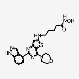 O=C(CCCCNc1cc2nc(-c3cccc4[nH]ncc34)nc(N3CCOCC3)c2s1)NO